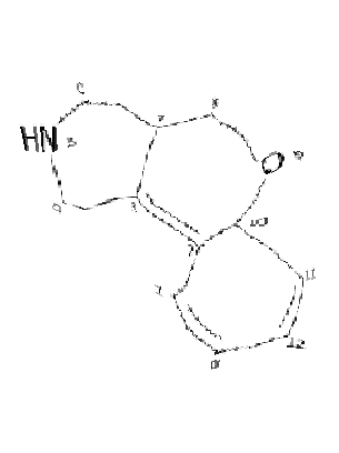 C1=CC2=C3CNCC3COC2C=C1